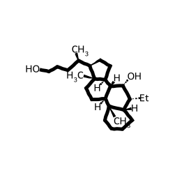 CC[C@H]1[C@@H](O)[C@@H]2[C@H](CC[C@]3(C)[C@@H]([C@H](C)CCCO)CC[C@@H]23)[C@@]2(C)CCCC[C@@H]12